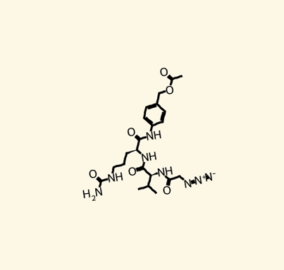 CC(=O)OCc1ccc(NC(=O)[C@H](CCCNC(N)=O)NC(=O)[C@@H](NC(=O)CN=[N+]=[N-])C(C)C)cc1